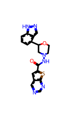 O=C(NN1CCOC(c2cccc3[nH]ncc23)C1)c1cc2cncnc2s1